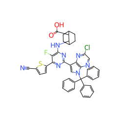 N#Cc1ccc(-c2nc(-c3cn(C(c4ccccc4)(c4ccccc4)c4ccccc4)c4ncc(Cl)nc34)nc(NC3C4CCC(CC4)C3C(=O)O)c2F)s1